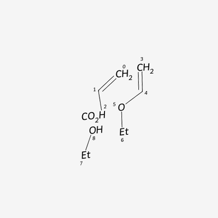 C=CC(=O)O.C=COCC.CCO